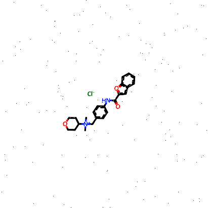 C[N+](C)(Cc1ccc(NC(=O)c2cc3ccccc3o2)cc1)C1CCOCC1.[Cl-]